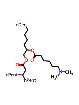 CCCCCCCCCCCCCCC(COC(=O)CC(CCCCC)CCCCC)OC(=O)CCCCCN(C)C